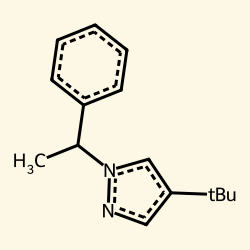 CC(c1ccccc1)n1cc(C(C)(C)C)cn1